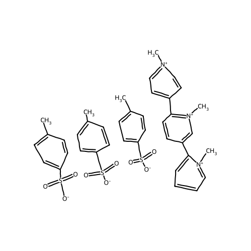 C[n+]1ccc(-c2ccc(-c3cccc[n+]3C)c[n+]2C)cc1.Cc1ccc(S(=O)(=O)[O-])cc1.Cc1ccc(S(=O)(=O)[O-])cc1.Cc1ccc(S(=O)(=O)[O-])cc1